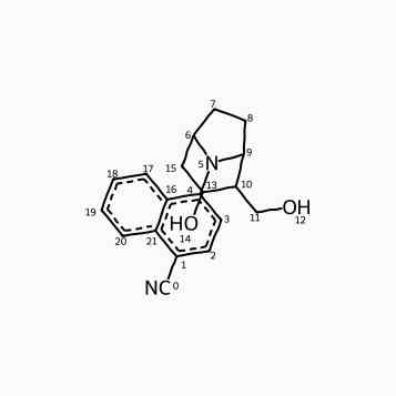 N#Cc1ccc(N2C3CCC2C(CO)C(O)C3)c2ccccc12